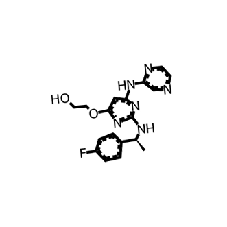 C[C@H](Nc1nc(Nc2cnccn2)cc(OCCO)n1)c1ccc(F)cc1